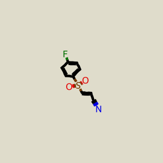 N#CC=CS(=O)(=O)c1ccc(F)cc1